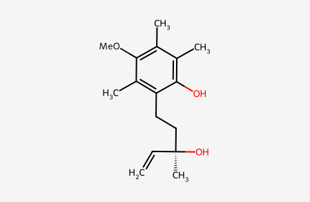 C=C[C@](C)(O)CCc1c(C)c(OC)c(C)c(C)c1O